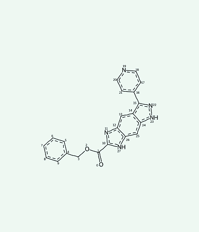 O=C(OCc1ccccc1)c1nc2cc3c(-c4ccncc4)n[nH]c3cc2[nH]1